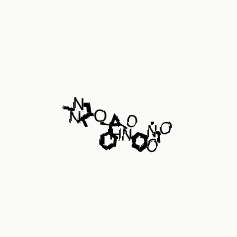 Cc1ncc(OC[C@@]2(C3C=CC=CC3)C[C@H]2C(=O)Nc2ccc3c(c2)N(C)C(=O)CO3)c(C)n1